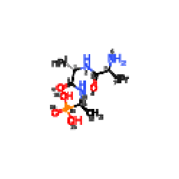 CCC[C@H](NC(=O)[C@@H](N)C(C)C)C(=O)N[C@@H](C)P(=O)(O)O